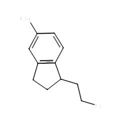 CC(C)(C)c1ccc2c(c1)CCC2CCO